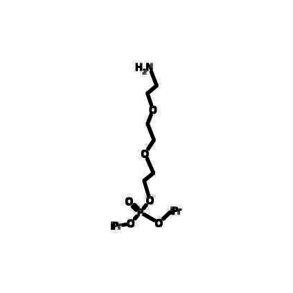 CC(C)OP(=O)(OCCOCCOCCN)OC(C)C